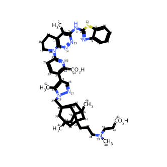 Cc1c(Nc2nc3ccccc3s2)nnc2c1CCCN2c1ccc(-c2cnn(CC34CC5(C)CC6(CCCN(C)CCC(=O)O)CC(C)(C3)C6(C5)C4)c2C)c(C(=O)O)n1